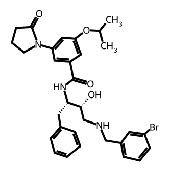 CC(C)Oc1cc(C(=O)N[C@@H](Cc2ccccc2)[C@H](O)CNCc2cccc(Br)c2)cc(N2CCCC2=O)c1